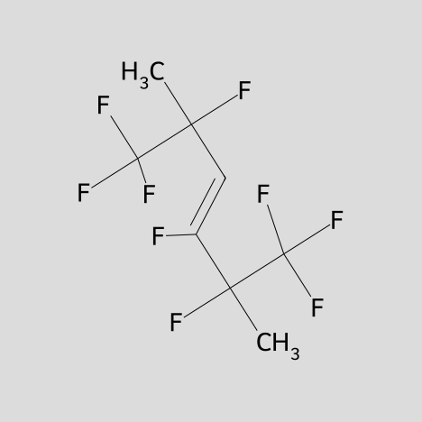 CC(F)(/C=C(\F)C(C)(F)C(F)(F)F)C(F)(F)F